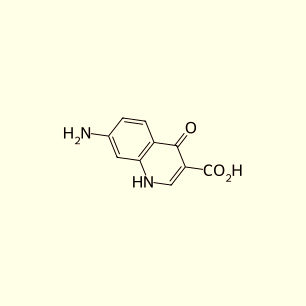 Nc1ccc2c(=O)c(C(=O)O)c[nH]c2c1